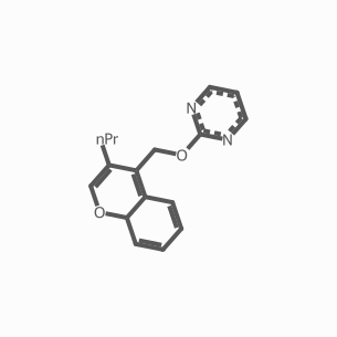 CCCC1=COC2C=CC=CC2=C1COc1ncccn1